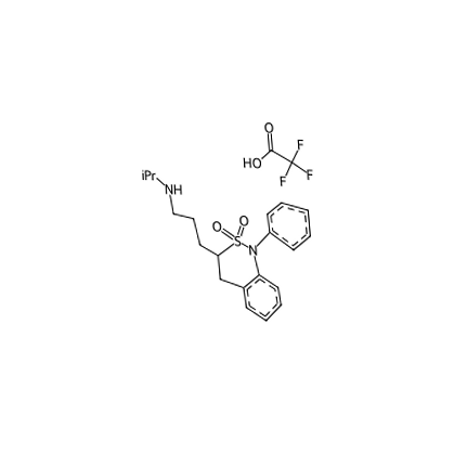 CC(C)NCCCC1Cc2ccccc2N(c2ccccc2)S1(=O)=O.O=C(O)C(F)(F)F